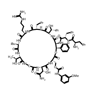 CC[C@H](C)[C@@H]1NC(=O)[C@@H](CCCNC(=N)N)NC(=O)[C@H](CC(C)C)NC(=O)[C@H]([C@H](O)C(C)C)NC(=O)[C@@H](NC(=O)[C@H](CC(C)C)NC(=O)[C@H](N)CC(C)C)[C@@H](c2ccccc2)OC(=O)[C@H](COC(=O)Nc2cccc(OC)c2)NC(=O)[C@H]([C@H](O)C(N)=O)NC(=O)CNC(=O)[C@H]([C@H](C)O)NC1=O